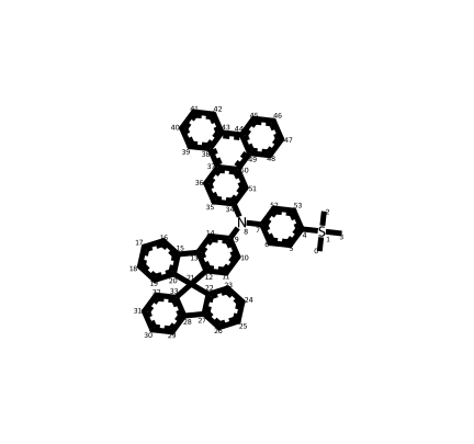 CS(C)(C)c1ccc(N(c2ccc3c(c2)-c2ccccc2C32c3ccccc3-c3ccccc32)c2ccc3c4ccccc4c4ccccc4c3c2)cc1